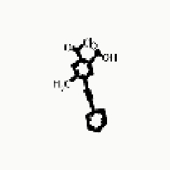 Cc1cc(C(=O)Cl)c(C(=O)O)cc1C#Cc1ccccc1